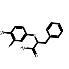 NC(=O)C(Cc1ccccc1)Oc1ccc([N+](=O)[O-])c(F)c1